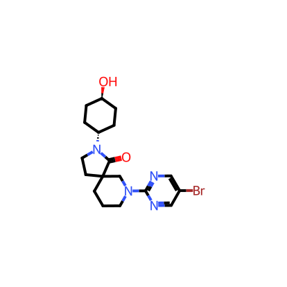 O=C1N([C@H]2CC[C@H](O)CC2)CCC12CCCN(c1ncc(Br)cn1)C2